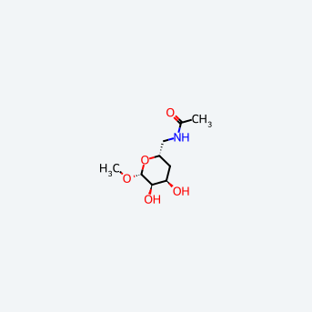 CO[C@@H]1O[C@H](CNC(C)=O)C[C@@H](O)[C@H]1O